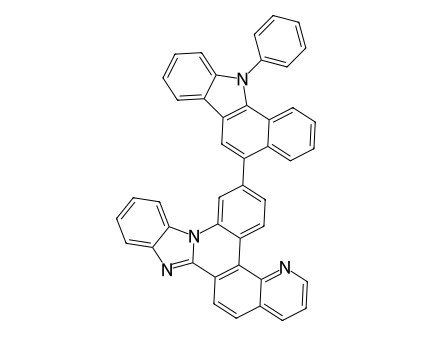 c1ccc(-n2c3ccccc3c3cc(-c4ccc5c6c(ccc7cccnc76)c6nc7ccccc7n6c5c4)c4ccccc4c32)cc1